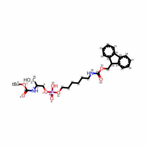 CC(C)(C)OC(=O)NC(COP(=O)(O)OCCCCCCNC(=O)OCC1c2ccccc2-c2ccccc21)C(=O)O